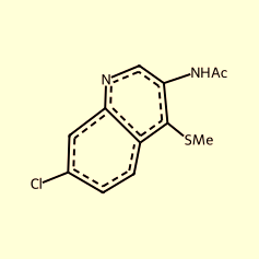 CSc1c(NC(C)=O)cnc2cc(Cl)ccc12